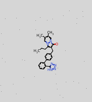 CCCc1c(Cc2ccc(-c3ccccc3-c3nnn[nH]3)cc2)c(=O)n2cc(C)c(C)cn12